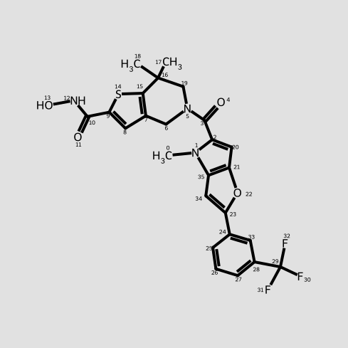 Cn1c(C(=O)N2Cc3cc(C(=O)NO)sc3C(C)(C)C2)cc2oc(-c3cccc(C(F)(F)F)c3)cc21